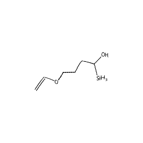 C=COCCCC(O)[SiH3]